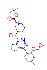 COCOc1cc(C)ccc1-c1nnc(C(=O)C2CCCN(C(=O)OC(C)(C)C)C2)c2c1CCC2